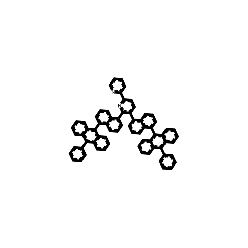 c1ccc(-c2c3ccccc3c(-c3cccc4c(-c5ccc(-c6ccccn6)nc5-c5cccc6c(-c7c8ccccc8c(-c8ccccc8)c8ccccc78)cccc56)cccc34)c3ccccc23)cc1